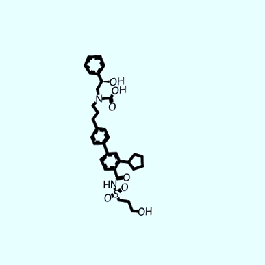 O=C(NS(=O)(=O)CCCO)c1ccc(-c2ccc(CCCN(C[C@H](O)c3ccccc3)C(=O)O)cc2)cc1C1CCCC1